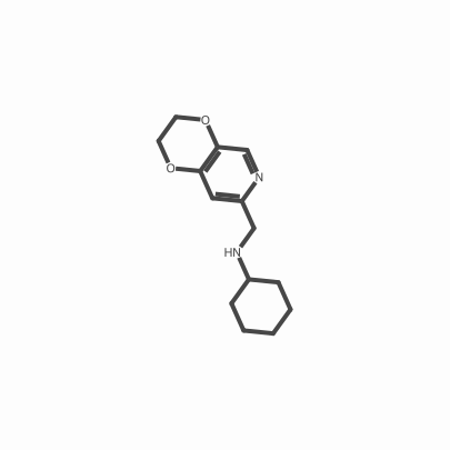 c1nc(CNC2CCCCC2)cc2c1OCCO2